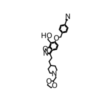 N#Cc1ccc(COc2ccc3c(CCC4CCN(CC5OCCO5)CC4)noc3c2CO)cc1